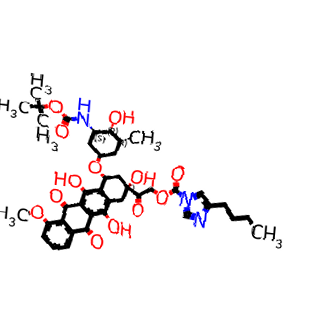 CCCCc1cn(C(=O)OCC(=O)[C@]2(O)Cc3c(O)c4c(c(O)c3C(OC3C[C@@H](C)[C@@H](O)[C@@H](NC(=O)OC(C)(C)C)C3)C2)C(=O)c2c(OC)cccc2C4=O)cn1